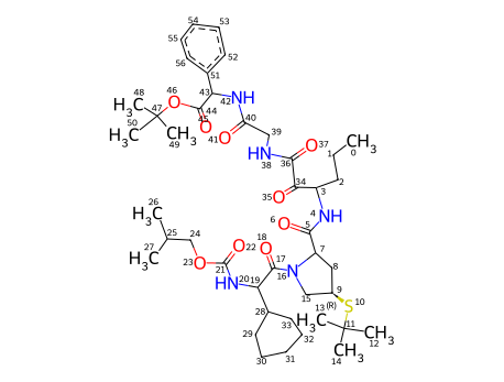 CCCC(NC(=O)C1C[C@@H](SC(C)(C)C)CN1C(=O)C(NC(=O)OCC(C)C)C1CCCCC1)C(=O)C(=O)NCC(=O)NC(C(=O)OC(C)(C)C)c1ccccc1